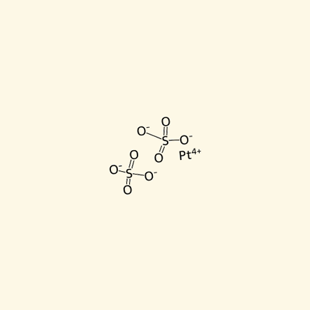 O=S(=O)([O-])[O-].O=S(=O)([O-])[O-].[Pt+4]